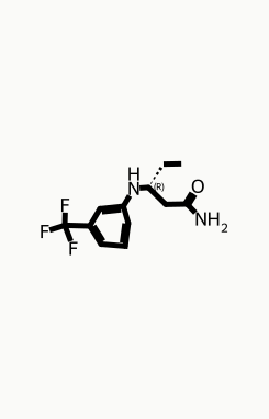 CC[C@H](CC(N)=O)Nc1cccc(C(F)(F)F)c1